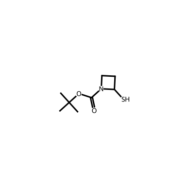 CC(C)(C)OC(=O)N1CCC1S